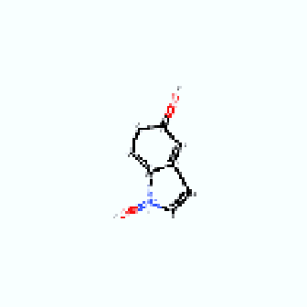 O=C1C=C2C=C[N+](=O)C2=CC1